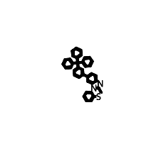 c1ccc(C(c2ccccc2)(c2ccccc2)c2cccc(-c3ccc4nc5n(c4c3)-c3ccccc3SC5)c2)cc1